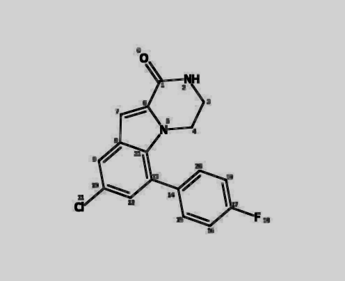 O=C1NCCn2c1cc1cc(Cl)cc(-c3ccc(F)cc3)c12